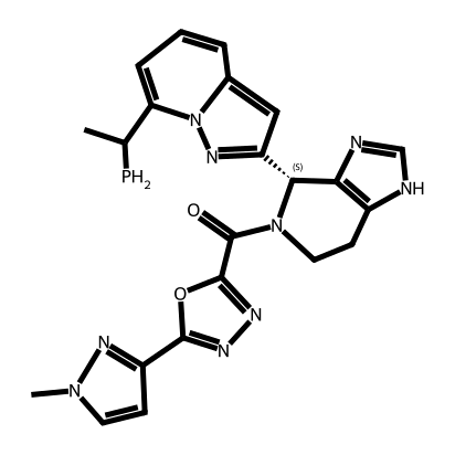 CC(P)c1cccc2cc([C@@H]3c4nc[nH]c4CCN3C(=O)c3nnc(-c4ccn(C)n4)o3)nn12